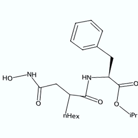 CCCCCCC(CC(=O)NO)C(=O)N[C@@H](Cc1ccccc1)C(=O)OC(C)C